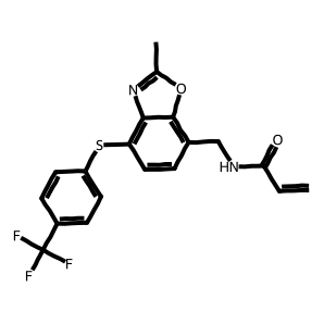 C=CC(=O)NCc1ccc(Sc2ccc(C(F)(F)F)cc2)c2nc(C)oc12